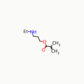 C=C(C)C(=O)OCCCNCC